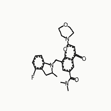 CC1Cc2c(F)cccc2N1Cc1cc(C(=O)N(C)C)cc2c(=O)cc(N3CCOCC3)oc12